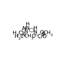 Cc1cnc(NC2CCC(NC(=O)c3cccc(S(C)(=O)=O)c3)CC2)nc1N(C)C